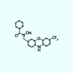 O=C(c1ccccc1)N(O)Cc1ccc2c(c1)Oc1cc(C(F)(F)F)ccc1N2